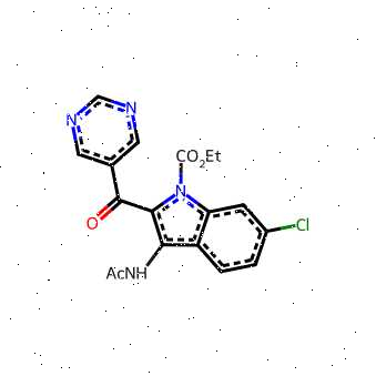 CCOC(=O)n1c(C(=O)c2cncnc2)c(NC(C)=O)c2ccc(Cl)cc21